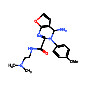 COc1ccc(N2C(C(=O)NCCN(C)C)=Nc3occc3C2N)cc1